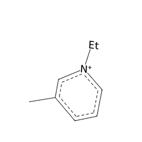 CC[n+]1cccc(C)c1